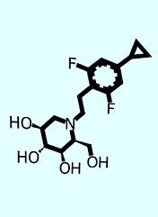 OC[C@H]1[C@@H](O)[C@H](O)[C@@H](O)CN1CCc1c(F)cc(C2CC2)cc1F